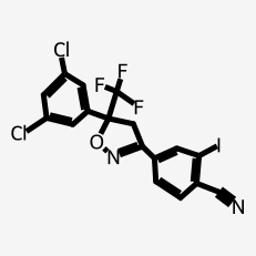 N#Cc1ccc(C2=NOC(c3cc(Cl)cc(Cl)c3)(C(F)(F)F)C2)cc1I